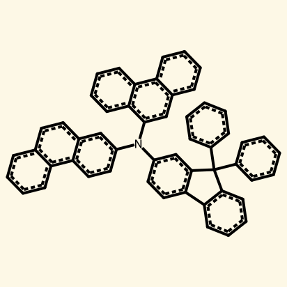 c1ccc(C2(c3ccccc3)c3ccccc3-c3ccc(N(c4ccc5c(ccc6ccccc65)c4)c4cc5ccccc5c5ccccc45)cc32)cc1